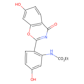 CCOC(=O)Nc1cc(O)ccc1-c1nc(=O)c2ccc(O)cc2o1